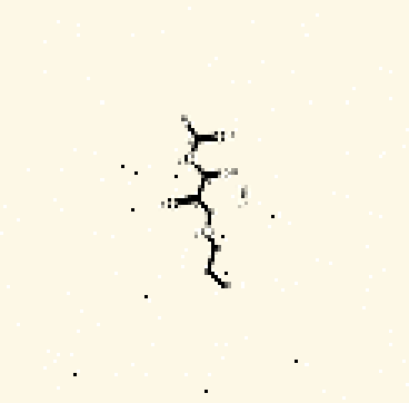 CCCOCC(=O)C(=O)OC(C)=O.[Ti]